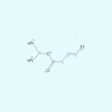 CCC=CCC(=O)OC(CCC)CCC